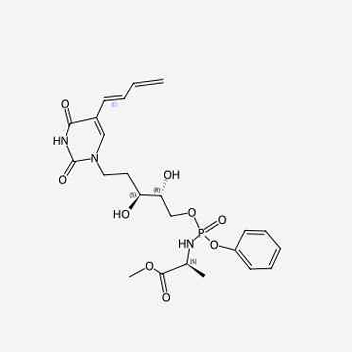 C=C/C=C/c1cn(CC[C@H](O)[C@H](O)COP(=O)(N[C@@H](C)C(=O)OC)Oc2ccccc2)c(=O)[nH]c1=O